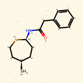 O=C(Cc1ccccc1)N[C@H]1CC[C@@H]([SiH3])CCS1